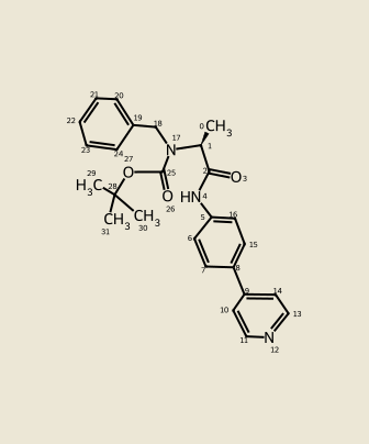 C[C@@H](C(=O)Nc1ccc(-c2ccncc2)cc1)N(Cc1ccccc1)C(=O)OC(C)(C)C